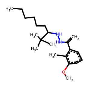 C=C(NNC(CCCCCC)C(C)(C)C)c1cccc(OC)c1C